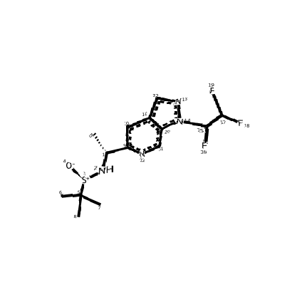 C[C@@H](N[S@+]([O-])C(C)(C)C)c1cc2cnn(C(F)C(F)F)c2cn1